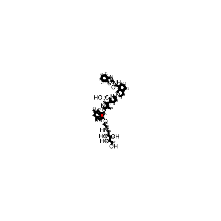 Cc1c(-c2ccc(N3CCc4cccc(C(=O)Nc5nc6ccccc6s5)c4C3)nc2C(=O)O)cnn1CC12CC3(C)CC(C)(C1)CC(OCCNC[C@@H](O)[C@@H](O)[C@H](O)CO)(C3)C2